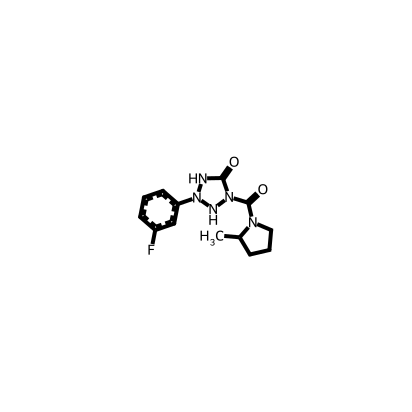 CC1CCCN1C(=O)N1NN(c2cccc(F)c2)NC1=O